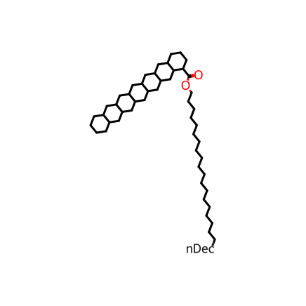 CCCCCCCCCCCCCCCCCCCCCCCCCCCCCOC(=O)C1CCCC2CC3CC4CC5CC6CC7CCCCC7CC6CC5CC4CC3CC21